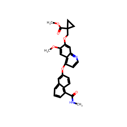 CNC(=O)c1cccc2cc(Oc3ccnc4cc(OCC5(C(=O)OC)CC5)c(OC)cc34)ccc12